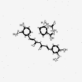 COc1cc(/C=C/C(=O)CC(=O)/C=C/c2ccc(O)c(OC)c2)ccc1O.NOC(N)=O.O=C(O)c1ccccc1